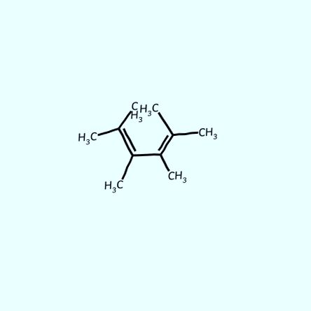 CC(C)=C(C)C(C)=C(C)C